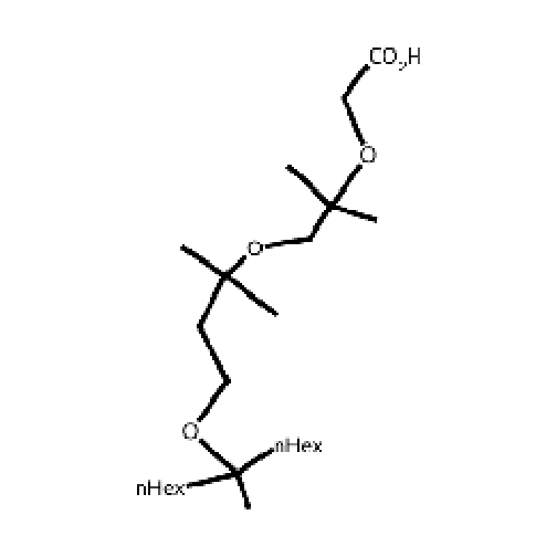 CCCCCCC(C)(CCCCCC)OCCC(C)(C)OCC(C)(C)OCC(=O)O